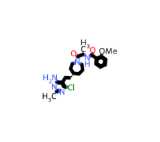 COc1ccccc1C(=O)N[C@@H](C)C(=O)N1CCC[C@H](CCc2c(N)nc(C)nc2Cl)CC1